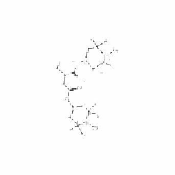 CCC(CC(=O)OC1CC(C)(C)N(S)C(C)(C)C1)C(=O)OC1CC(C)(C)N(O)C(C)(C)C1